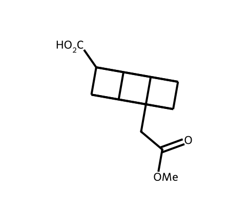 COC(=O)CC12C3C4C1C1C2C3C41C(=O)O